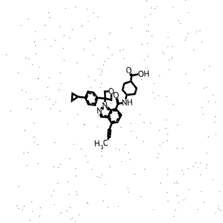 CC#Cc1ccc(C(=O)NC2CCC(C(=O)O)CC2)c2c1cnn2C1(c2ccc(C3CC3)cc2)COC1